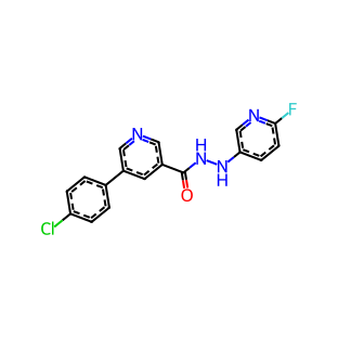 O=C(NNc1ccc(F)nc1)c1cncc(-c2ccc(Cl)cc2)c1